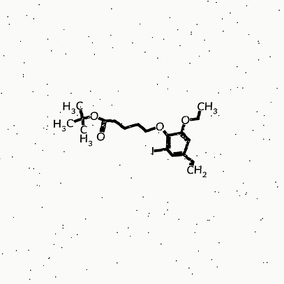 C=Cc1cc(I)c(OCCCCC(=O)OC(C)(C)C)c(OCC)c1